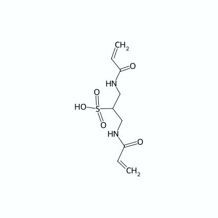 C=CC(=O)NCC(CNC(=O)C=C)S(=O)(=O)O